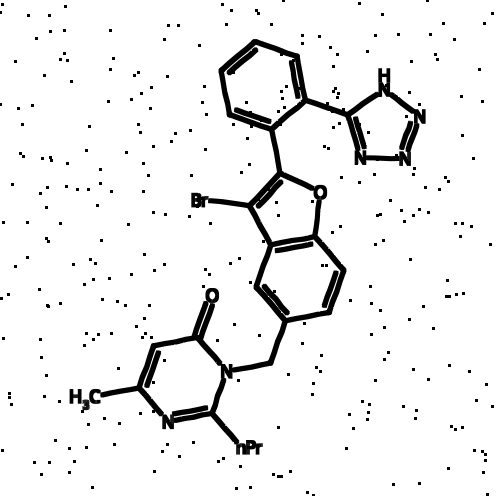 CCCc1nc(C)cc(=O)n1Cc1ccc2oc(-c3ccccc3-c3nnn[nH]3)c(Br)c2c1